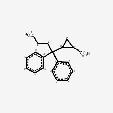 O=C(O)CCC(c1ccccc1)(c1ccccc1)C1CC1C(=O)O